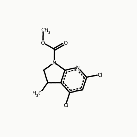 COC(=O)N1CC(C)c2c(Cl)cc(Cl)nc21